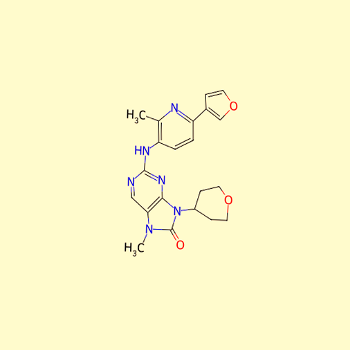 Cc1nc(-c2ccoc2)ccc1Nc1ncc2c(n1)n(C1CCOCC1)c(=O)n2C